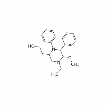 CCN1CC(CCO)N(c2ccccc2)C(c2ccccc2)C1OC